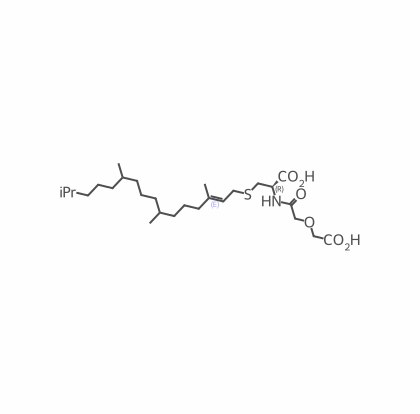 C/C(=C\CSC[C@H](NC(=O)COCC(=O)O)C(=O)O)CCCC(C)CCCC(C)CCCC(C)C